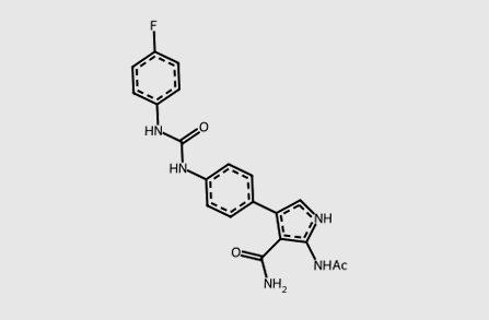 CC(=O)Nc1[nH]cc(-c2ccc(NC(=O)Nc3ccc(F)cc3)cc2)c1C(N)=O